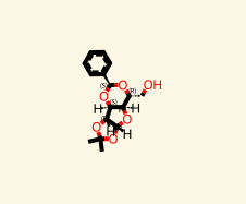 CC1(C)O[C@H]2O[C@H]3[C@H](O[C@@H](c4ccccc4)O[C@@H]3CO)[C@H]2O1